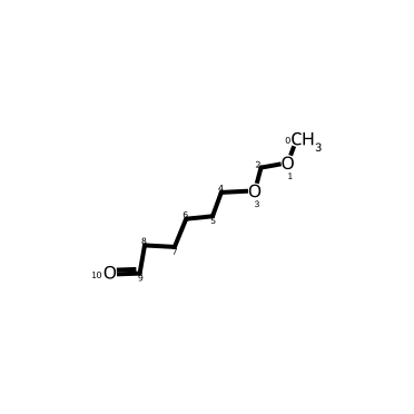 COCOCCCCCC=O